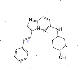 OC1CCC(Nc2ccc3ncc(/C=C/c4ccncc4)n3n2)CC1